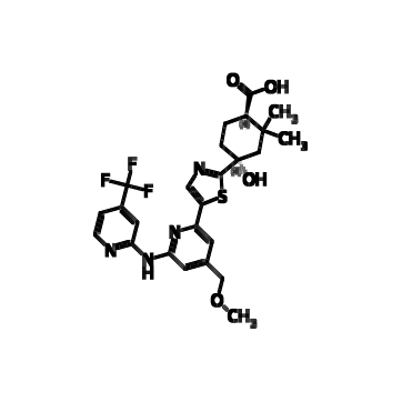 COCc1cc(Nc2cc(C(F)(F)F)ccn2)nc(-c2cnc([C@@]3(O)CC[C@@H](C(=O)O)C(C)(C)C3)s2)c1